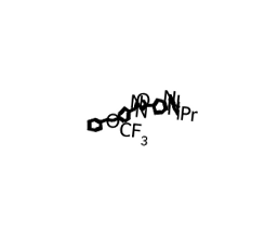 CC(C)n1nnc2cc(-c3nc(-c4ccc(OCc5ccccc5)c(C(F)(F)F)c4)no3)ccc21